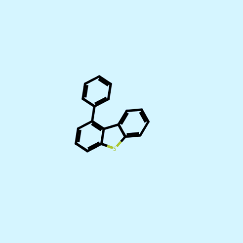 c1ccc(-c2cccc3sc4ccccc4c23)cc1